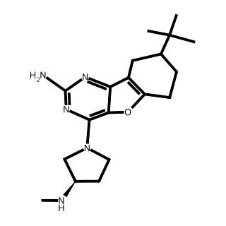 CN[C@@H]1CCN(c2nc(N)nc3c4c(oc23)CCC(C(C)(C)C)C4)C1